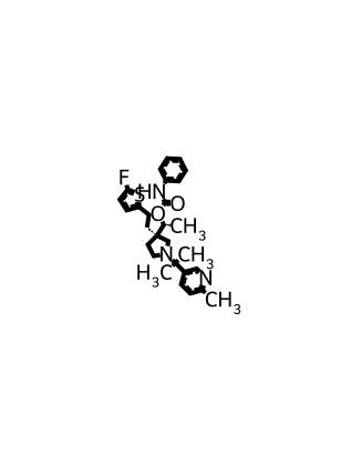 Cc1ccc(C(C)(C)N2CC[C@@](CCc3ccc(F)s3)([C@@H](C)OC(=O)Nc3ccccc3)C2)cn1